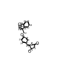 O=C1CC(=O)/C(=C/c2ccc(OCC(=NO)c3ccccc3Cl)cc2)S1